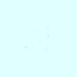 CCOC(C)(Cl)Cl